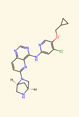 Clc1cc(Nc2ncnc3ccc(N4C[C@@H]5C[C@H]4CN5)nc23)ncc1OCC1CC1